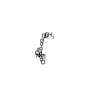 CCn1cc(-c2ccc(Cl)cc2Cl)nc1C=Cc1ccc(-c2ccc(OCCCC(=O)OC)cc2)cc1F